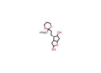 CCCCCCCC1(CC[C@H]2C(O)CC3OC(O)CC32)OCCCO1